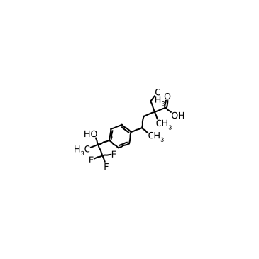 CCC(C)(CC(C)c1ccc(C(C)(O)C(F)(F)F)cc1)C(=O)O